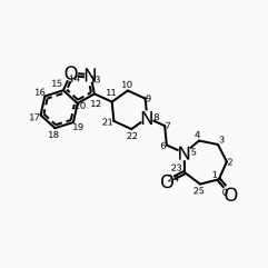 O=C1CCCN(CCN2CCC(c3noc4ccccc34)CC2)C(=O)C1